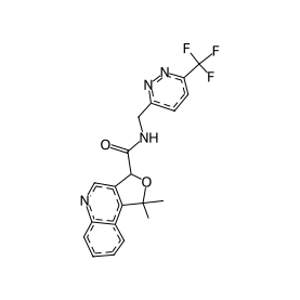 CC1(C)OC(C(=O)NCc2ccc(C(F)(F)F)nn2)c2cnc3ccccc3c21